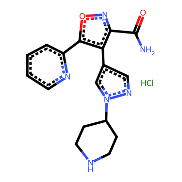 Cl.NC(=O)c1noc(-c2ccccn2)c1-c1cnn(C2CCNCC2)c1